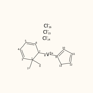 CC1(C)C=CC=C[CH]1[V+3][C]1=CC=CC1.[Cl-].[Cl-].[Cl-]